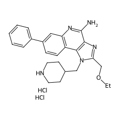 CCOCc1nc2c(N)nc3cc(-c4ccccc4)ccc3c2n1CC1CCNCC1.Cl.Cl